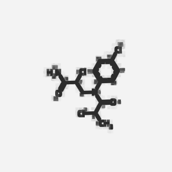 CC(Cl)C(=O)N(CC(Cl)C(N)=O)c1ccc(Cl)cc1